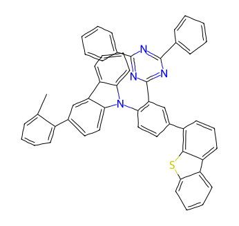 Cc1ccccc1-c1ccc2c(c1)c1ccccc1n2-c1ccc(-c2cccc3c2sc2ccccc23)cc1-c1nc(-c2ccccc2)nc(-c2ccccc2)n1